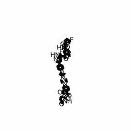 O=C1CCC(N2C(=O)c3ccc(N4CCN(C5CN(c6ccc(-c7cnc8[nH]cc(C(=O)c9c(F)ccc(NS(=O)(=O)N%10CC[C@@H](F)C%10)c9F)c8c7)cc6)C5)CC4)cc3C2=O)C(=O)N1